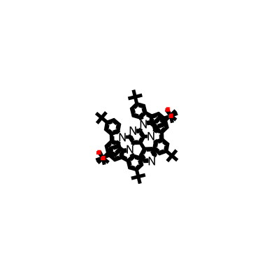 CC(C)(C)c1ccc2c(c1)c1cc(C(C)(C)C)ccc1n2-c1nc(-n2c3ccc(C(C)(C)C)cc3c3cc(C(C)(C)C)ccc32)c(-n2c3ccc(C(C)(C)C)cc3c3cc(C(C)(C)C)ccc32)c(-c2ccncc2)c1-n1c2ccc(C(C)(C)C)cc2c2cc(C(C)(C)C)ccc21